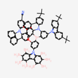 Bc1c(B)c(B)c2c(c1B)c1c(B)c(B)c(B)c(B)c1n2-c1ccc2c(c1)Oc1cc(-c3cc(C#N)ccc3N(c3ccccc3)c3ccccc3-c3ccccc3)cc3c1B2c1ccc(-n2c4ccc(C(C)(C)C)cc4c4cc(C(C)(C)C)ccc42)cc1N3c1ccc(C(C)(C)C)cc1-c1ccccc1